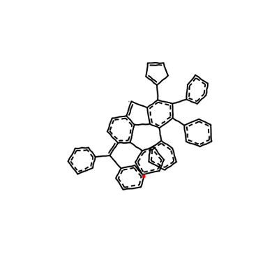 [C]1=c2ccc(=C(c3ccccc3)c3ccccc3)c(-c3ccccc3)c2-c2c1c(C1=CC=CC1)c(-c1ccccc1)c(-c1ccccc1)c2-c1ccccc1